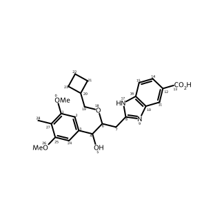 COc1cc(C(O)C(Cc2nc3cc(C(=O)O)ccc3[nH]2)OCC2CCC2)cc(OC)c1C